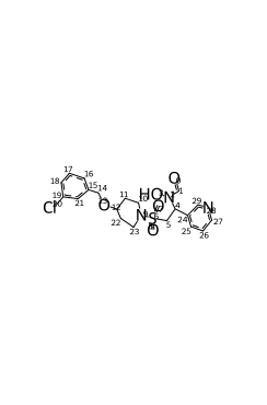 O=CN(O)C(CS(=O)(=O)N1CCC(OCc2cccc(Cl)c2)CC1)c1cccnc1